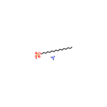 CCCCCCCCCCCCCCCCOS(=O)(=O)OC.CN(C)C